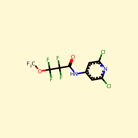 O=C(Nc1cc(Cl)nc(Cl)c1)C(F)(F)C(F)(F)OC(F)(F)F